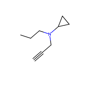 C#CCN(CCC)C1CC1